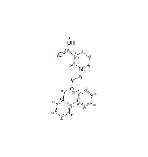 O=C(O)[C@@H]1CCCN(CCOCc2ccccc2-c2ccccc2)C1